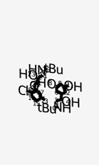 CC(C)(C)NCC(O)c1cc(O)cc(O)c1.Cc1ccc(Cl)c(OCC(O)CNC(C)(C)C)c1